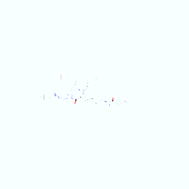 CNCNC(=O)C(CCCCNC(=O)CCS)N(CCO)CCO